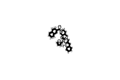 C/C(=C\c1ccccc1)CN(CC1CCN(C(=O)c2ccc3ccccc3c2)CC1)C(=O)Nc1ccco1